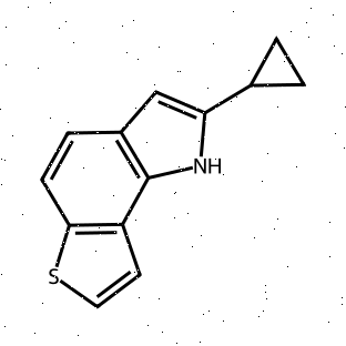 c1cc2c(ccc3cc(C4CC4)[nH]c32)s1